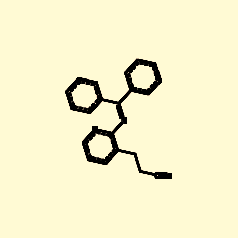 COCCc1cccnc1N=C(c1ccccc1)c1ccccc1